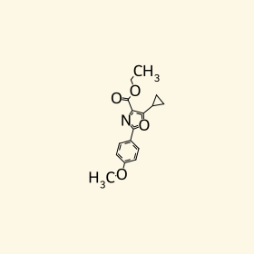 CCOC(=O)c1nc(-c2ccc(OC)cc2)oc1C1CC1